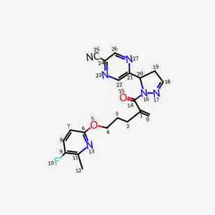 C=C(CCCOc1ccc(F)c(C)n1)C(=O)N1N=CCC1c1cnc(C#N)cn1